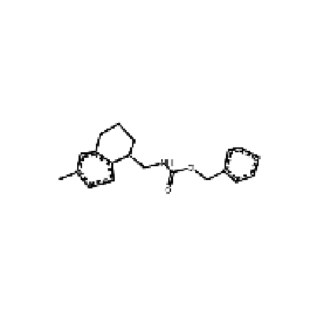 O=C(NC[C@@H]1CCCc2cc(I)ccc21)OCc1ccccc1